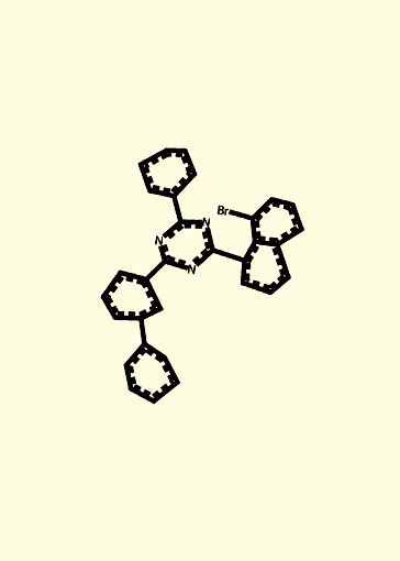 Brc1cccc2cccc(-c3nc(-c4ccccc4)nc(-c4cccc(-c5ccccc5)c4)n3)c12